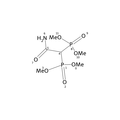 COP(=O)(OC)C(C(N)=O)P(=O)(OC)OC